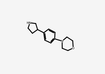 c1cc(N2CCOCC2)ccc1C1CCNC1